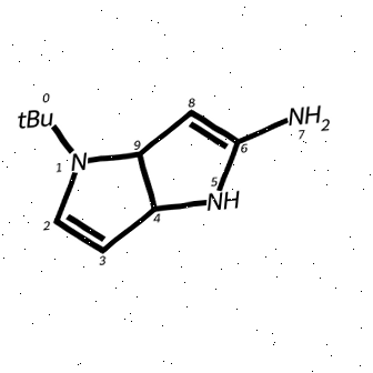 CC(C)(C)N1C=CC2NC(N)=CC21